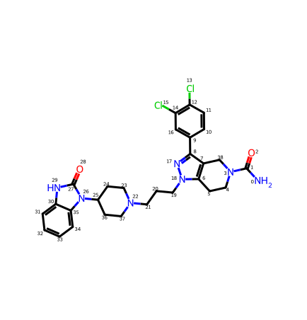 NC(=O)N1CCc2c(c(-c3ccc(Cl)c(Cl)c3)nn2CCCN2CCC(n3c(=O)[nH]c4ccccc43)CC2)C1